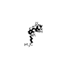 CCCCCNc1ccc(F)c(C(=O)c2c[nH]c3ncnc(O)c23)c1F